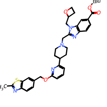 Cc1nc2ccc(COc3cccc(C4CCN(Cc5nc6ccc(C(=O)OC(C)(C)C)cc6n5CC5CCO5)CC4)n3)cc2s1